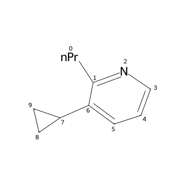 CCCc1ncccc1C1CC1